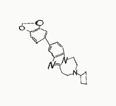 c1cc2c(cc1-c1ccc3c(c1)nc1n3CCN(C3CCC3)CC1)OCO2